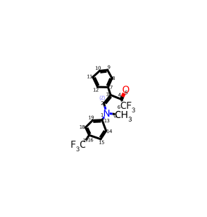 CN(/C=C(\C(=O)C(F)(F)F)c1ccccc1)c1ccc(C(F)(F)F)cc1